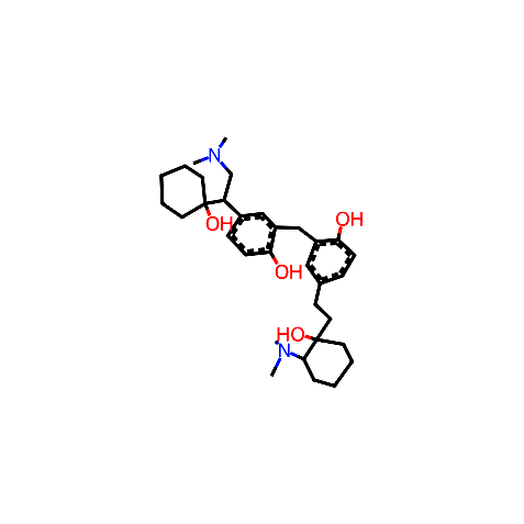 CN(C)CC(c1ccc(O)c(Cc2cc(CCC3(O)CCCCC3N(C)C)ccc2O)c1)C1(O)CCCCC1